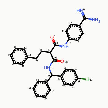 N=C(N)c1ccc(NC(=O)C(CCc2ccccc2)C(=O)NC(c2ccccc2)c2ccc(Cl)cc2)cc1